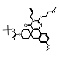 C=CCn1c(SCCOC)nc2c(c1=O)C1(CCN(C(=O)OC(C)(C)C)CC1)Cc1cc(OC)ccc1-2